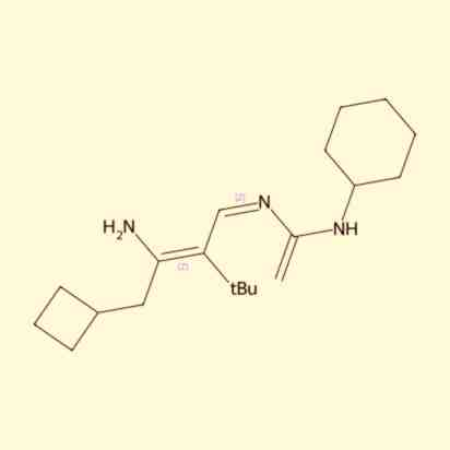 C=C(/N=C\C(=C(/N)CC1CCC1)C(C)(C)C)NC1CCCCC1